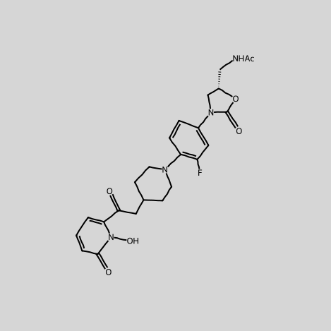 CC(=O)NC[C@H]1CN(c2ccc(N3CCC(CC(=O)c4cccc(=O)n4O)CC3)c(F)c2)C(=O)O1